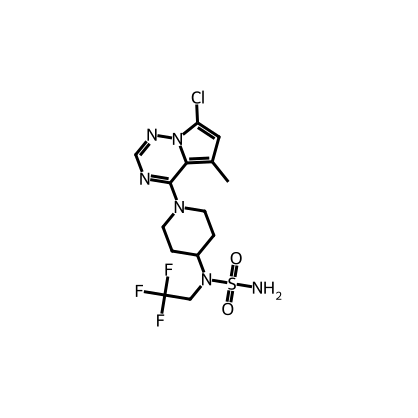 Cc1cc(Cl)n2ncnc(N3CCC(N(CC(F)(F)F)S(N)(=O)=O)CC3)c12